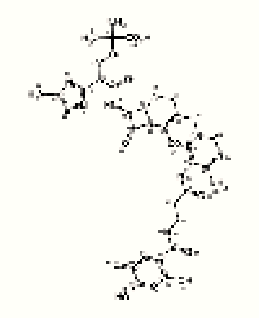 CC(C)(O/N=C(\C(=O)N[C@@H]1C(=O)N2C(C(=O)O)=C(CN3C=C(NC(=O)CCNC(=O)c4cc(=O)c(O)cn4O)C(N)=NC3)CSC12)c1nsc(N)n1)C(=O)O